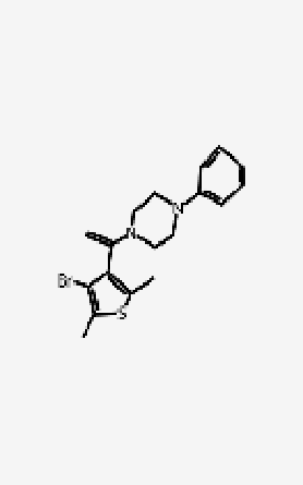 C=C(c1c(C)sc(C)c1Br)N1CCN(c2ccccc2)CC1